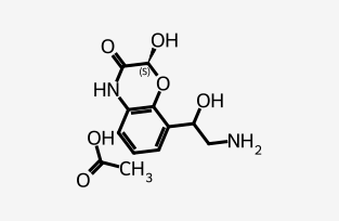 CC(=O)O.NCC(O)c1cccc2c1O[C@H](O)C(=O)N2